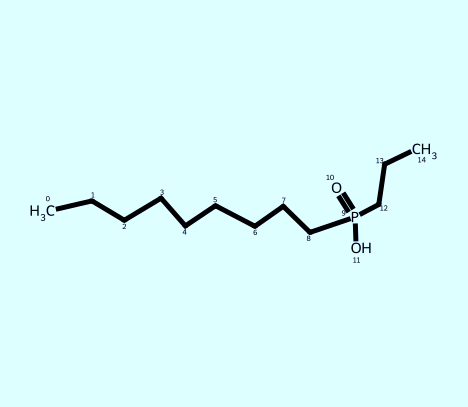 CCCCCCCCCP(=O)(O)CCC